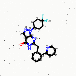 O=c1[nH]c(Cc2ccccc2-c2ccccn2)nc2c1cnn2C1CCC(F)(F)CC1